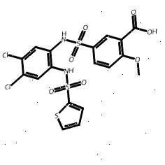 COc1ccc(S(=O)(=O)Nc2cc(Cl)c(Cl)cc2NS(=O)(=O)c2cccs2)cc1C(=O)O